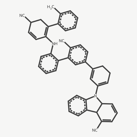 Cc1ccccc1C1=C(Nc2ccccc2-c2cc(C3=CC(N4c5ccccc5C5C(C#N)=CC=CC54)=CCC3)ccc2C#N)C=CC(C#N)C1